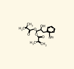 C=C(C)C(=O)OC(OC(=O)C(=C)C)C(O)Cc1ccccc1CCC